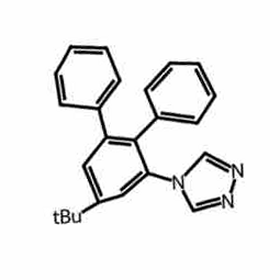 CC(C)(C)c1cc(-c2ccccc2)c(-c2ccccc2)c(-n2cnnc2)c1